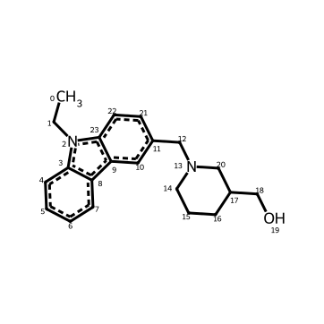 CCn1c2ccccc2c2cc(CN3CCCC(CO)C3)ccc21